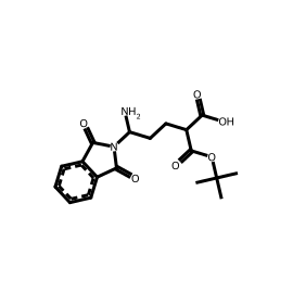 CC(C)(C)OC(=O)C(CCC(N)N1C(=O)c2ccccc2C1=O)C(=O)O